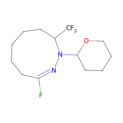 F/C1=N/N(C2CCCCO2)C(C(F)(F)F)CCCCC1